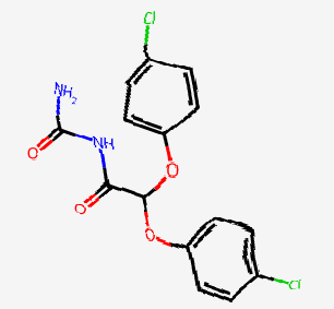 NC(=O)NC(=O)C(Oc1ccc(Cl)cc1)Oc1ccc(Cl)cc1